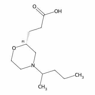 CCCC(C)N1CCO[C@H](CCC(=O)O)C1